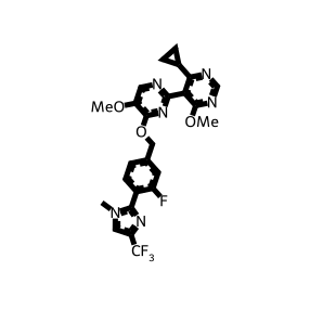 COc1cnc(-c2c(OC)ncnc2C2CC2)nc1OCc1ccc(-c2nc(C(F)(F)F)cn2C)c(F)c1